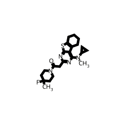 CN(c1nc(CC(=O)N2CCC(C)(F)CC2)nc2sc3c(c12)CCCC3)C1CC1